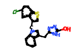 Oc1nnc(Cc2cn(Cc3csc4ccc(Cl)cc34)c3ccccc23)[nH]1